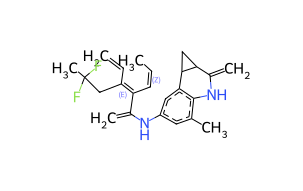 C=C/C(CC(C)(F)F)=C(\C=C/C)C(=C)Nc1cc(C)c2c(c1)C1CC1C(=C)N2